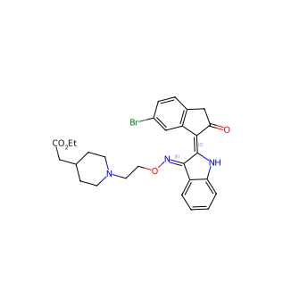 CCOC(=O)CC1CCN(CCO/N=C2/C(=C3/C(=O)Cc4ccc(Br)cc43)Nc3ccccc32)CC1